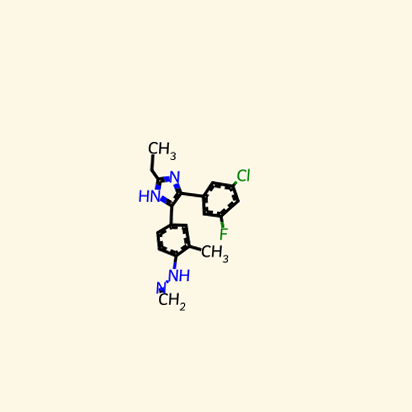 C=NNc1ccc(-c2[nH]c(CC)nc2-c2cc(F)cc(Cl)c2)cc1C